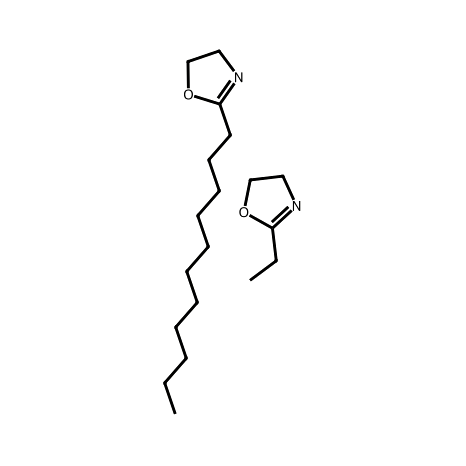 CCC1=NCCO1.CCCCCCCCCCCC1=NCCO1